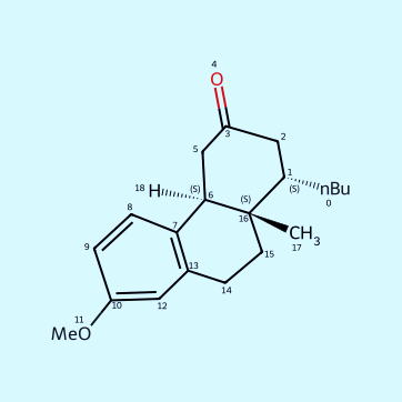 CCCC[C@H]1CC(=O)C[C@@H]2c3ccc(OC)cc3CC[C@@]12C